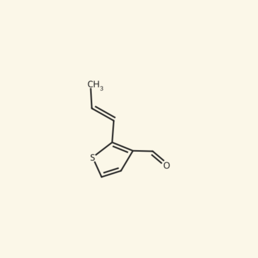 CC=Cc1sccc1C=O